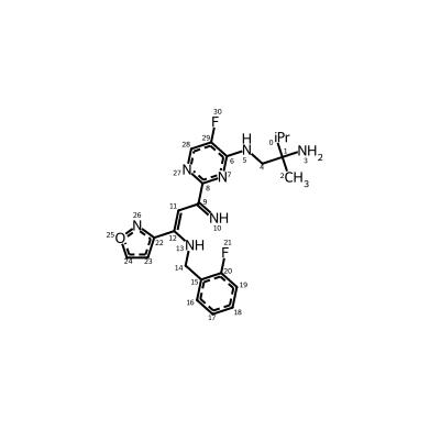 CC(C)C(C)(N)CNc1nc(C(=N)/C=C(\NCc2ccccc2F)c2ccon2)ncc1F